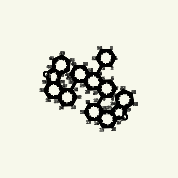 c1ccc(-c2c3cccc(-c4cccc5ccc6oc7ccccc7c6c45)c3cc3c(-c4cccc5ccc6oc7ccccc7c6c45)cccc23)cc1